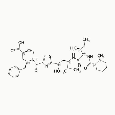 CC[C@H](C)[C@H](NC(=O)[C@H]1CCCCN1C)C(=O)N[C@H](C[C@@H](O)c1nc(C(=O)N[C@@H](Cc2ccccc2)C[C@H](C)C(=O)O)cs1)C(C)C